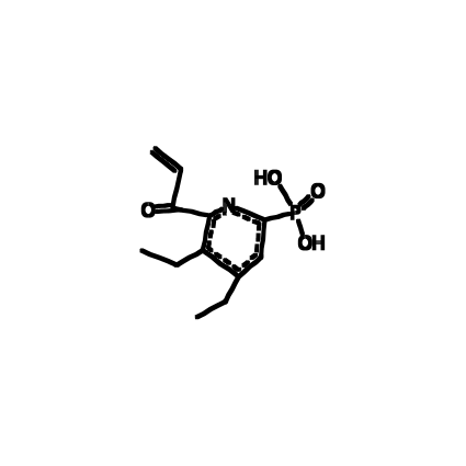 C=CC(=O)c1nc(P(=O)(O)O)cc(CC)c1CC